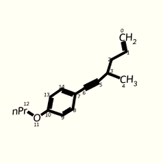 C=CCC(C)C#Cc1ccc(OCCC)cc1